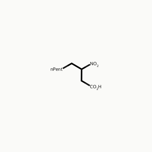 CCCCCCC(CC(=O)O)[N+](=O)[O-]